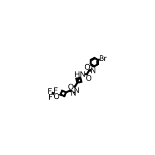 O=C(NC12CC(c3nnc(C4CC(OC(F)(F)F)C4)o3)(C1)C2)c1nc2cc(Br)ccc2o1